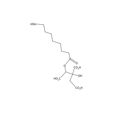 CCCCCCCCCCCCCCCCCC(=O)OC(C(=O)O)C(O)(CC(=O)O)C(=O)O